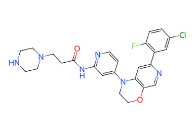 O=C(CCN1C[CH]NCC1)Nc1cc(N2CCOc3cnc(-c4cc(Cl)ccc4F)cc32)ccn1